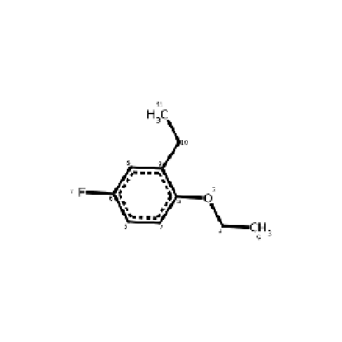 CCOc1ccc(F)cc1CC